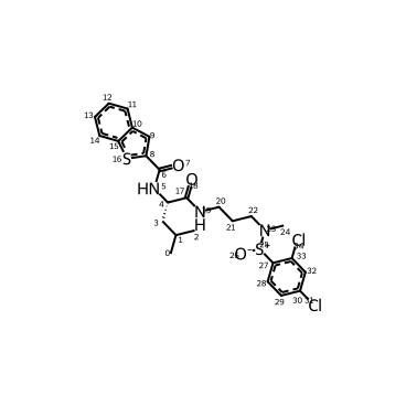 CC(C)C[C@H](NC(=O)c1cc2ccccc2s1)C(=O)NCCCN(C)[S+]([O-])c1ccc(Cl)cc1Cl